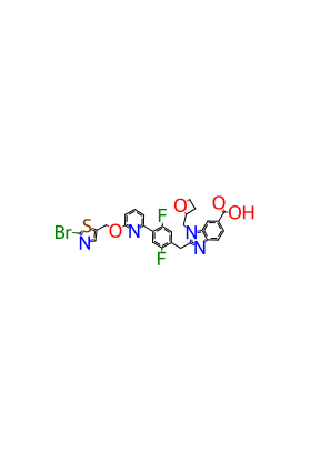 O=C(O)c1ccc2nc(Cc3cc(F)c(-c4cccc(OCc5cnc(Br)s5)n4)cc3F)n(CC3CCO3)c2c1